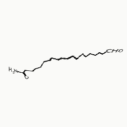 NC(=O)CCCCCCCCCCCCCCCCCCC=O